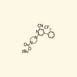 CC(C)(C)OC(=O)N1CCN(c2cc(-c3ccccc3)c(C(F)(F)F)c(C#N)n2)CC1